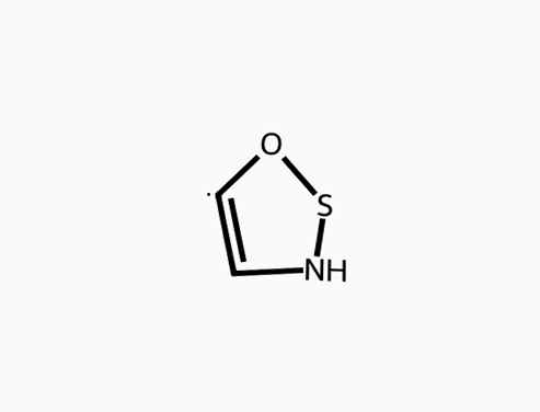 [C]1=CNSO1